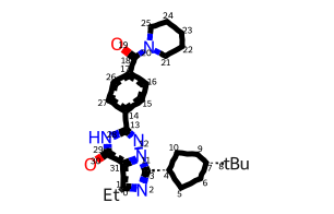 CCc1nc([C@H]2CC[C@@H](C(C)(C)C)CC2)n2nc(-c3ccc(C(=O)N4CCCCC4)cc3)[nH]c(=O)c12